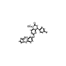 CC(C)(C)OC(=O)CC(c1ccc(F)cc1)c1ccnc(Oc2ccc(Cn3ccnc3N)cc2)n1